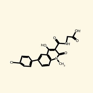 Cn1c(=O)c(C(=O)NCC(=O)O)c(O)c2cc(-c3ccc(Cl)cc3)ccc21